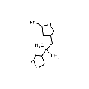 CC(C)C1CC(CC(C)(C)C2CCOC2)CO1